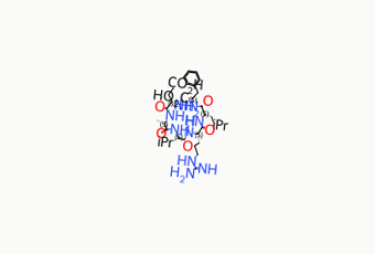 CC(C)C[C@H](NC(=O)[C@H](CCCNC(=N)N)NC(=O)[C@@H](NC(=O)[C@H](C)NC(=O)[C@@H](N)CCC(=O)O)C(C)C)C(=O)N[C@@H](Cc1ccccc1)C(=O)O